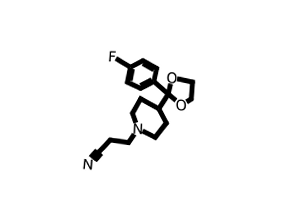 N#CCCN1CCC(C2(c3ccc(F)cc3)OCCO2)CC1